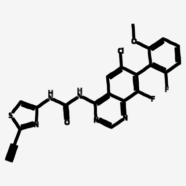 C#Cc1nc(NC(=O)Nc2ncnc3c(F)c(-c4c(F)cccc4OC)c(Cl)cc23)cs1